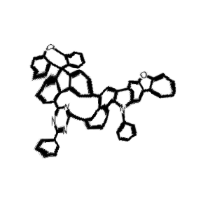 c1ccc(-c2nc(-c3ccccc3)nc(-c3cccc4c3-c3cc(-c5ccc6c(c5)c5cc7oc8ccccc8c7cc5n6-c5ccccc5)ccc3C43c4ccccc4Oc4ccccc43)n2)cc1